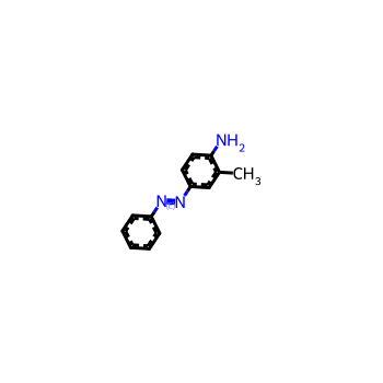 Cc1cc(/N=N/c2ccccc2)ccc1N